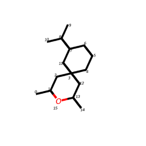 CC1CC2(CCCC(C(C)C)C2)CC(C)O1